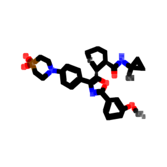 N#CC1(NC(=O)[C@@H]2CCCC[C@H]2c2oc(-c3cccc(OC(F)(F)F)c3)nc2-c2ccc(N3CCS(=O)(=O)CC3)cc2)CC1